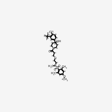 COc1cc(C)c(S(=O)(=O)N(C)CCOCCC(=O)N2CCC(O)(c3ccc(Cl)c(C(F)(F)F)c3)CC2)c(C)c1